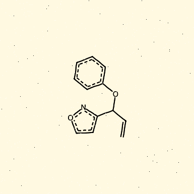 C=CC(Oc1ccccc1)c1ccon1